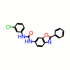 O=C(Nc1cccc(Cl)c1)Nc1ccc2nc(-c3ccccc3)oc2c1